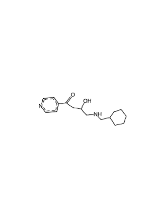 O=C(CC(O)CNCC1CCCCC1)c1ccncc1